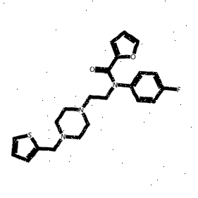 O=C(c1ccco1)N(CCN1CCN(Cc2cccs2)CC1)c1ccc(F)cc1